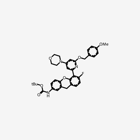 COc1ccc(COc2cc(N3CCOCC3)cc(-c3c(F)ccc4c3Oc3ccc(NC(=O)OC(C)(C)C)cc3C4)n2)cc1